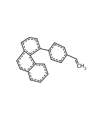 C=Cc1ccc(-c2cccc3ccc4ccccc4c23)cc1